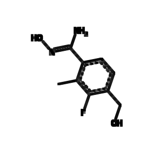 Cc1c(/C(N)=N/O)ccc(CO)c1F